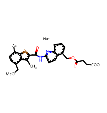 COCc1ccc(C(C)=O)c2sc(C(=O)Nc3ccc4c(COC(=O)CCC(=O)[O-])cccc4n3)c(C)c12.[Na+]